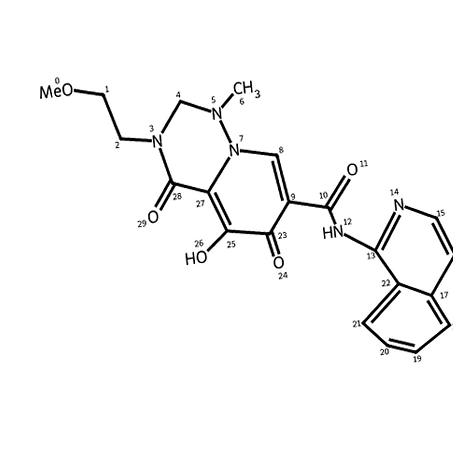 COCCN1CN(C)n2cc(C(=O)Nc3nccc4ccccc34)c(=O)c(O)c2C1=O